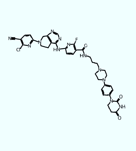 N#Cc1ccc(N2CCc3c(ncnc3Nc3ccc(C(=O)NCCCN4CCN(c5ccc(N6CCC(=O)NC6=O)cc5)CC4)c(F)n3)C2)nc1Cl